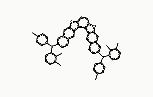 Cc1ccc(N(c2ccc3cc4c(cc3c2)oc2ccc3oc5cc6cc(N(c7ccc(C)cc7)c7cccc(C)c7C)ccc6cc5c3c24)c2cccc(C)c2C)cc1